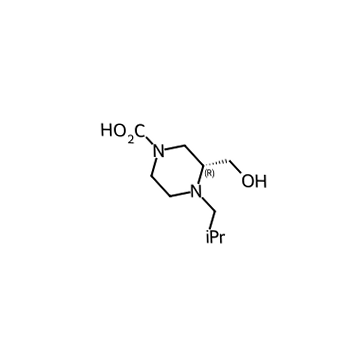 CC(C)CN1CCN(C(=O)O)C[C@@H]1CO